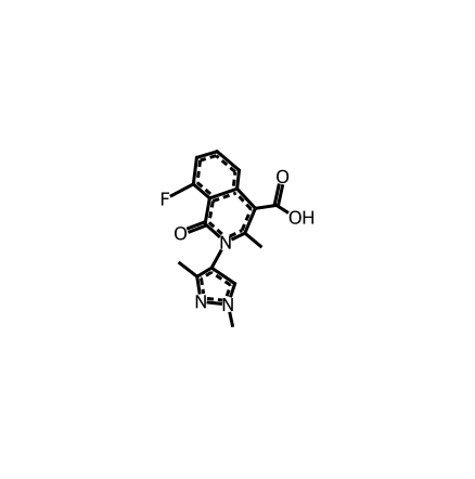 Cc1nn(C)cc1-n1c(C)c(C(=O)O)c2cccc(F)c2c1=O